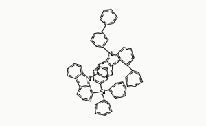 c1ccc(-c2cccc(-n3c4cc(-n5c6ccccc6c6cccc([Si](c7ccccc7)(c7ccccc7)c7ccccc7)c65)ccc4c4c(-c5ccccc5)cccc43)c2)cc1